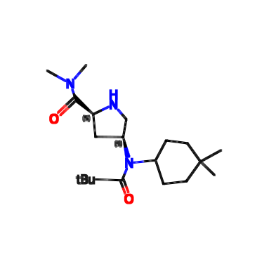 CN(C)C(=O)[C@@H]1C[C@H](N(C(=O)C(C)(C)C)C2CCC(C)(C)CC2)CN1